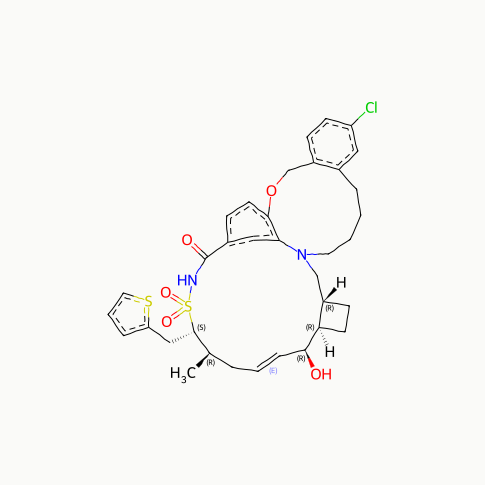 C[C@@H]1C/C=C/[C@H](O)[C@@H]2CC[C@H]2CN2CCCCc3cc(Cl)ccc3COc3ccc(cc32)C(=O)NS(=O)(=O)[C@H]1Cc1cccs1